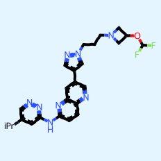 CC(C)c1cnnc(Nc2ccc3ncc(-c4cnn(CCCN5CC(OC(F)F)C5)c4)cc3n2)c1